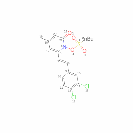 CCCCS(=O)(=O)On1c(/C=C/c2ccc(Cl)c(Cl)c2)cc(C)cc1=O